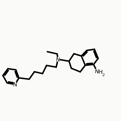 CCN(CCCCCc1ccccn1)C1CCc2c(N)cccc2C1